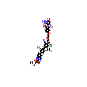 CC(C)(c1ccc(-c2ccc3nc(S(C)(=O)=O)ncc3c2)cc1)c1cc(Cl)c(OCCOCCOc2ccc3c(c2)C(=O)N(C2CCC(=O)NC2=O)C3=O)c(C#N)c1